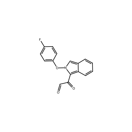 O=CC(=O)c1c2ccccc2cn1Oc1ccc(F)cc1